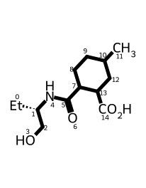 CC[C@@H](CO)NC(=O)C1CCC(C)CC1C(=O)O